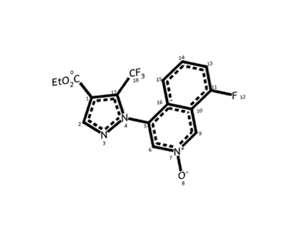 CCOC(=O)c1cnn(-c2c[n+]([O-])cc3c(F)cccc23)c1C(F)(F)F